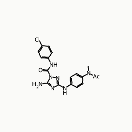 CC(=O)N(C)c1ccc(Nc2nc(N)n(C(=O)Nc3ccc(Cl)cc3)n2)cc1